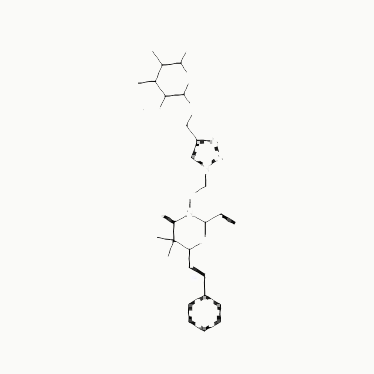 C=CC1OC(/C=C/c2ccccc2)C(C)(C)C(=O)N1OCn1cc(COC2OC(CC)C(C)C(C)C2OC(C)=O)nn1